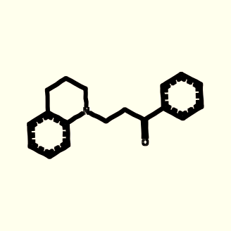 O=C(CCN1CCCc2ccccc21)c1ccccc1